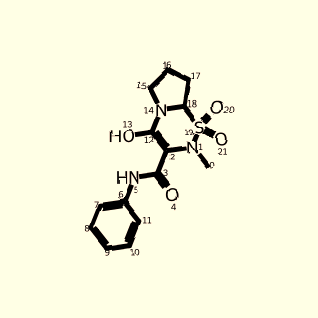 CN1C(C(=O)Nc2ccccc2)=C(O)N2CCCC2S1(=O)=O